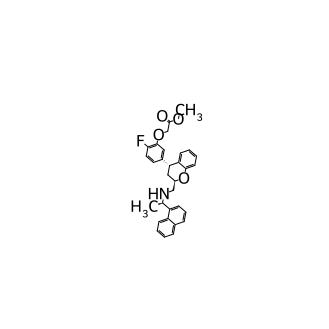 COC(=O)COc1cc([C@H]2C[C@H](CN[C@H](C)c3cccc4ccccc34)Oc3ccccc32)ccc1F